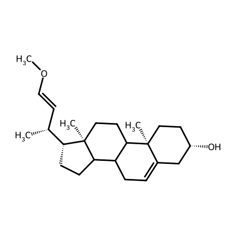 COC=C[C@@H](C)[C@H]1CCC2C3CC=C4C[C@@H](O)CC[C@]4(C)C3CC[C@@]21C